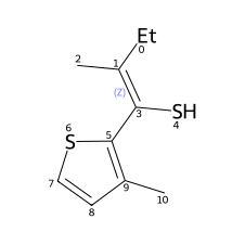 CC/C(C)=C(\S)c1sccc1C